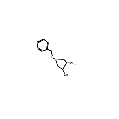 C[C@H]1C[C@H](OCc2ccccc2)C[C@@H]1O